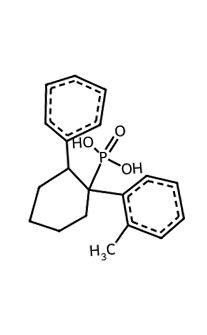 Cc1ccccc1C1(P(=O)(O)O)CCCCC1c1ccccc1